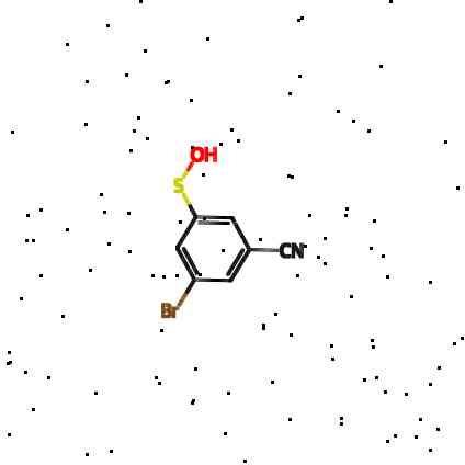 N#Cc1cc(Br)cc(SO)c1